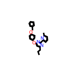 CCCc1cc(Oc2ccc(OCc3ccccc3)cc2)nc(-c2cccc(C)n2)n1